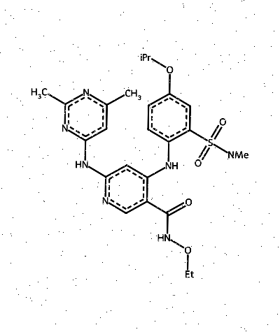 CCONC(=O)c1cnc(Nc2cc(C)nc(C)n2)cc1Nc1ccc(OC(C)C)cc1S(=O)(=O)NC